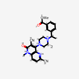 COC(=O)c1cccc(C(C)N2CCN(c3c(C#N)c(=O)n(C)c4ccc(C#N)nc34)C[C@H]2C)c1